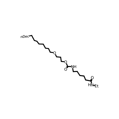 CCCCCCCCCCCCCCCCCCOCCCOC(=O)NCCCCCC(=O)NCC